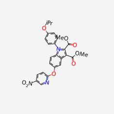 COC(=O)c1c(C(=O)OC)n(-c2ccc(OC(C)C)cc2)c2ccc(Oc3ccc([N+](=O)[O-])cn3)cc12